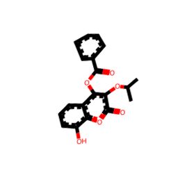 CC(C)Oc1c(OC(=O)c2ccccc2)c2cccc(O)c2oc1=O